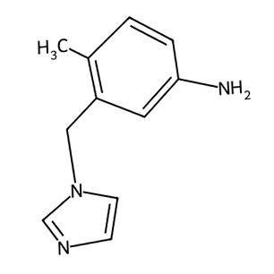 Cc1ccc(N)cc1Cn1ccnc1